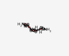 Cc1cc(N)ccc1C(=O)NCCCCNC(=O)c1ccc(C(=O)NCCCCNC(=O)c2ccc(N)cc2C)cc1